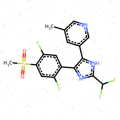 Cc1cncc(-c2[nH]c(C(F)F)nc2-c2cc(F)c(S(C)(=O)=O)cc2F)c1